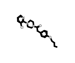 CCCCOc1ccc(CC(=O)N2CCN(c3ncccc3Cl)CC2)cc1